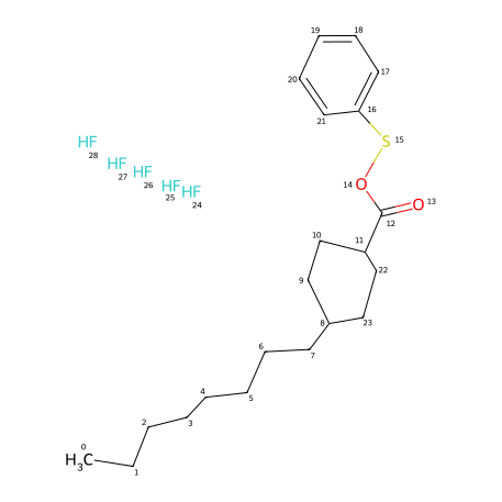 CCCCCCCCC1CCC(C(=O)OSc2ccccc2)CC1.F.F.F.F.F